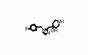 OC1(Cc2nccn2Cc2ccc(F)cc2)CCNCC1